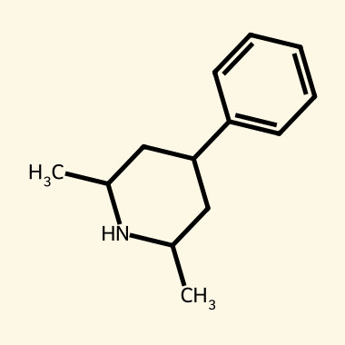 CC1CC(c2ccccc2)CC(C)N1